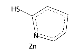 Sc1ccccn1.[Zn]